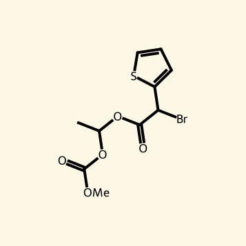 COC(=O)OC(C)OC(=O)C(Br)c1cccs1